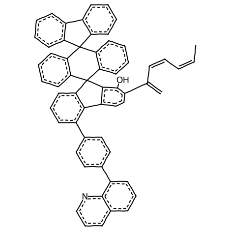 C=C(/C=C\C=C/C)c1ccc2c(c1O)C1(c3ccccc3C3(c4ccccc4-c4ccccc43)c3ccccc31)c1cccc(-c3ccc(-c4cccc5cccnc45)cc3)c1-2